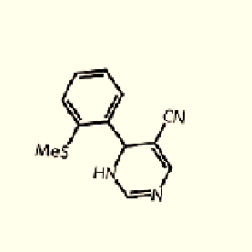 CSc1ccccc1C1NC=NC=C1C#N